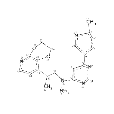 Cc1ccc(-c2cc(N(N)CC(C)c3ccnc4c3OCCO4)ncn2)cn1